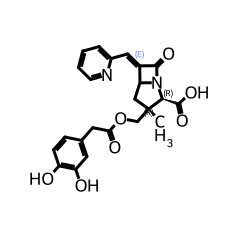 C[C@@]1(COC(=O)Cc2ccc(O)c(O)c2)CC2/C(=C\c3ccccn3)C(=O)N2[C@H]1C(=O)O